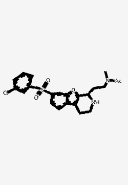 CC(=O)N(C)CCC1NCCc2c1oc1cc(S(=O)(=O)c3cccc(Cl)c3)ccc21